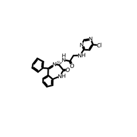 O=C(CNc1cc(Cl)ncn1)N[C@H]1N=C(c2ccccc2)c2ccccc2NC1=O